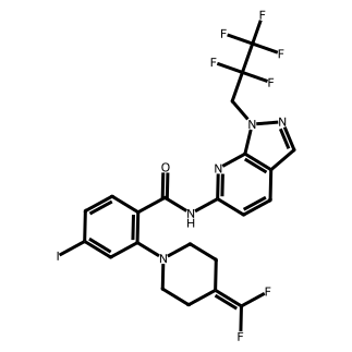 O=C(Nc1ccc2cnn(CC(F)(F)C(F)(F)F)c2n1)c1ccc(I)cc1N1CCC(=C(F)F)CC1